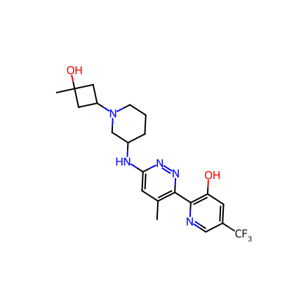 Cc1cc(NC2CCCN(C3CC(C)(O)C3)C2)nnc1-c1ncc(C(F)(F)F)cc1O